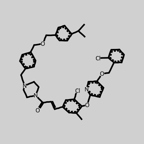 Cc1cc(C=CC(=O)N2CCN(Cc3ccc(COCc4ccc(C(C)C)cc4)cc3)CC2)cc(Cl)c1Oc1ccc(OCc2ccccc2Cl)cn1